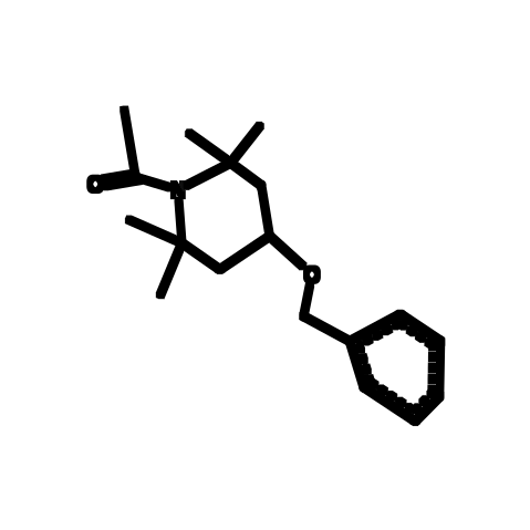 CC(=O)N1C(C)(C)CC(OCc2ccccc2)CC1(C)C